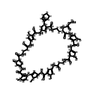 Cn1cc(NC(=O)c2cc(NC(=O)CCNC(=O)c3cc(NC(=O)c4cc(NC(=O)[C@H](CCNC(=O)c5nc(NC(=O)c6cc(NC(=O)CCNC(=O)c7nc(NC(=O)c8nccn8C)cn7C)cn6C)cn5C5CC6CCC5C6)NC(=O)OC(C)(C)C)cn4C)cn3C)cn2C)cc1C(=O)O